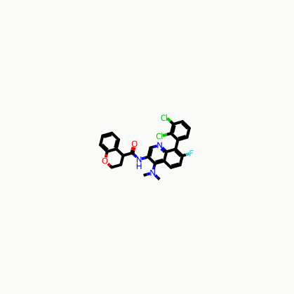 CN(C)c1c(NC(=O)C2CCOc3ccccc32)cnc2c(-c3cccc(Cl)c3Cl)c(F)ccc12